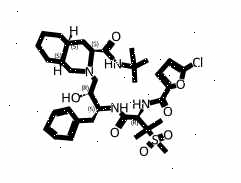 CC(C)(C)NC(=O)[C@@H]1C[C@@H]2CCCC[C@@H]2CN1C[C@@H](O)[C@H](Cc1ccccc1)NC(=O)[C@@H](NC(=O)c1ccc(Cl)o1)C(C)(C)S(C)(=O)=O